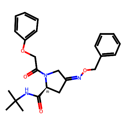 CC(C)(C)NC(=O)[C@@H]1CC(=NOCc2ccccc2)CN1C(=O)COc1ccccc1